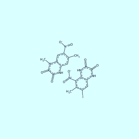 Cc1c(I)cc2[nH]c(=O)c(=O)[nH]c2c1[N+](=O)[O-].Cc1cc2[nH]c(=O)c(=O)n(C)c2cc1[N+](=O)[O-]